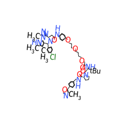 Cc1ncoc1-c1ccc(CNC(=O)[C@@H]2CCCN2C(=O)C(NC(=O)COCCCCOCCCOc2ccc(NC(=O)CC3N=C(c4ccc(Cl)cc4)c4c([nH]c(C)c4C)-n4c(C)nnc43)cc2)C(C)(C)C)cc1